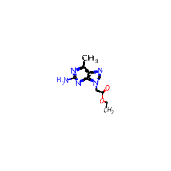 CCOC(=O)Cn1cnc2c(C)nc(N)nc21